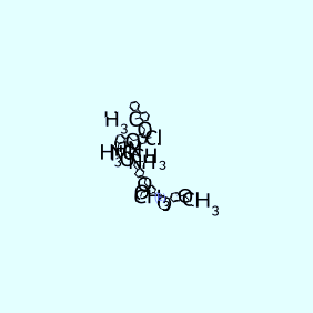 COc1ccc(C(=O)/C=C/c2ccc(OCc3ccc(CNC(=O)C(C)(C)NCc4cc(Cl)c(OCc5cccc(-c6ccccc6)c5C)cc4OCc4cccc(C#N)c4)cc3)c(OC)c2)cc1